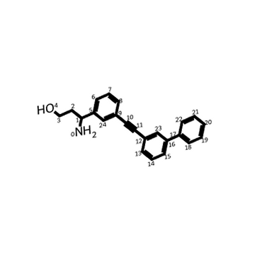 NC(CCO)c1cccc(C#Cc2cccc(-c3ccccc3)c2)c1